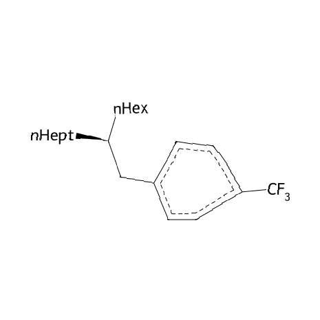 CCCCCCC[C@@H](CCCCCC)Cc1ccc(C(F)(F)F)cc1